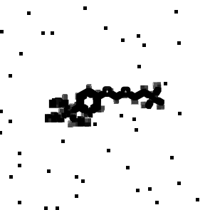 CCC[CH2][Sn]([CH2]CCC)([CH2]CCC)[c]1ccc(OCOCC[Si](C)(C)C)cn1